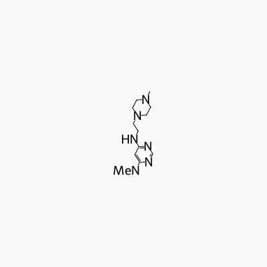 CNc1cc(NCCN2CCN(C)CC2)ncn1